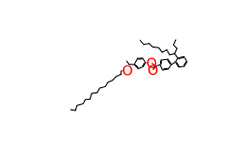 CCCCCCCCCCCCCCCOC(C)c1ccc(OC(=O)c2ccc(-c3ccccc3C(CCC)CCCCCCCC)cc2)cc1